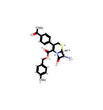 COC(=O)c1ccc(C2=C(C(=O)OCc3ccc(OC)cc3)N3C(=O)[C@H](N)[C@@H]3SC2)cc1